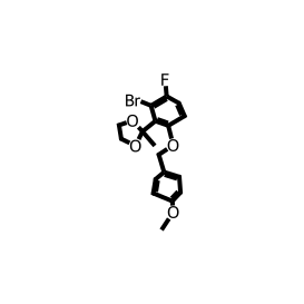 COc1ccc(COc2ccc(F)c(Br)c2C2(C)OCCO2)cc1